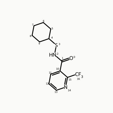 O=C(NSC1CCCCC1)c1cccnc1C(F)(F)F